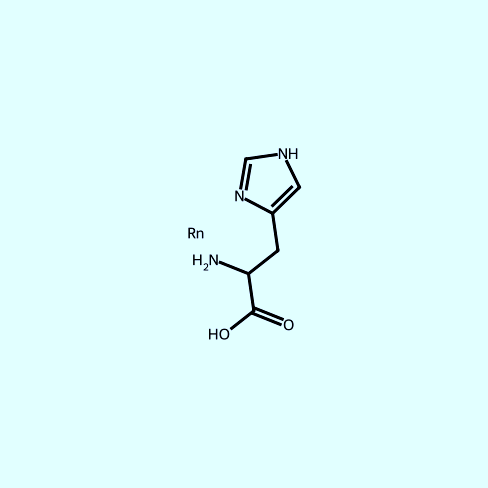 NC(Cc1c[nH]cn1)C(=O)O.[Rn]